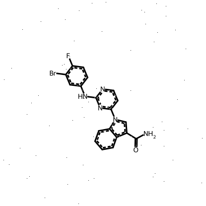 NC(=O)c1cn(-c2ccnc(Nc3ccc(F)c(Br)c3)n2)c2ccccc12